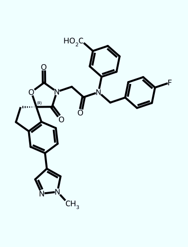 Cn1cc(-c2ccc3c(c2)CC[C@@]32OC(=O)N(CC(=O)N(Cc3ccc(F)cc3)c3cccc(C(=O)O)c3)C2=O)cn1